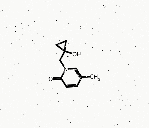 Cc1ccc(=O)n(CC2(O)CC2)c1